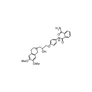 COc1cc2c(cc1OC)CN(CC(O)COc1ccc(NC(=O)c3ccccc3C(N)=O)cc1)CC2